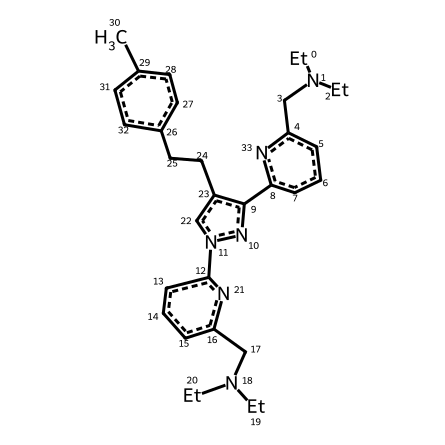 CCN(CC)Cc1cccc(-c2nn(-c3cccc(CN(CC)CC)n3)cc2CCc2ccc(C)cc2)n1